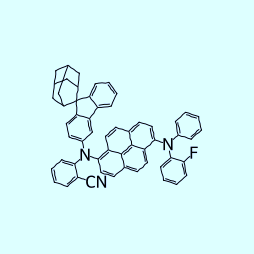 N#Cc1ccccc1N(c1ccc2c(c1)-c1ccccc1C21C2CC3CC(C2)CC1C3)c1ccc2ccc3c(N(c4ccccc4)c4ccccc4F)ccc4ccc1c2c43